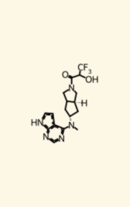 CN(c1ncnc2[nH]ccc12)[C@@H]1CC2CN(C(=O)C(O)C(F)(F)F)C[C@H]2C1